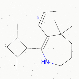 C/C=C\C1=C(C2C(C)CC2C)NCCCC1(C)C